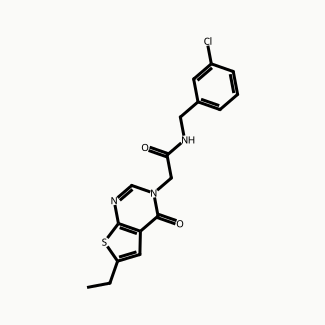 CCc1cc2c(=O)n(CC(=O)NCc3cccc(Cl)c3)cnc2s1